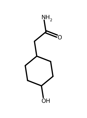 NC(=O)CC1CCC(O)CC1